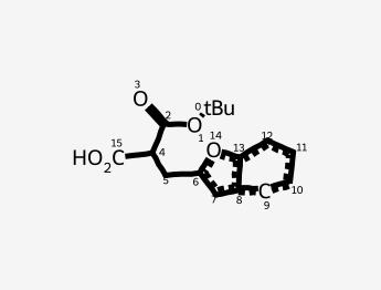 CC(C)(C)OC(=O)C(Cc1cc2ccccc2o1)C(=O)O